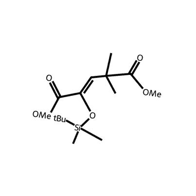 COC(=O)C(=CC(C)(C)C(=O)OC)O[Si](C)(C)C(C)(C)C